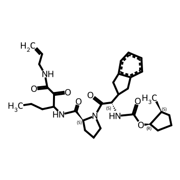 C=CCNC(=O)C(=O)C(CCC)NC(=O)[C@@H]1CCCN1C(=O)[C@@H](NC(=O)O[C@@H]1CCC[C@@H]1C)C1Cc2ccccc2C1